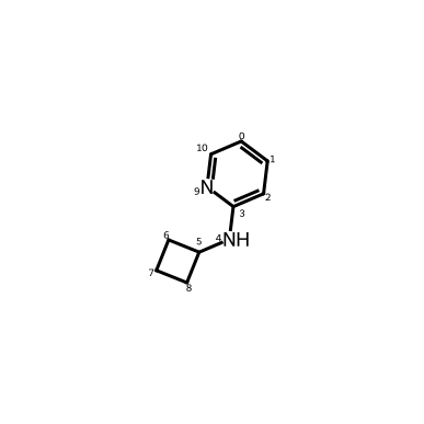 c1ccc(NC2CCC2)nc1